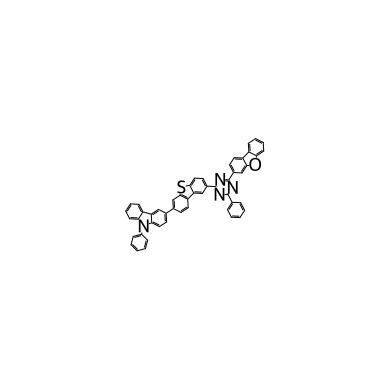 c1ccc(-c2nc(-c3ccc4c(c3)oc3ccccc34)nc(-c3ccc4sc5cc(-c6ccc7c(c6)c6ccccc6n7-c6ccccc6)ccc5c4c3)n2)cc1